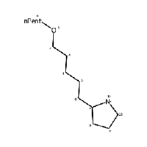 CCCCCOCCCCCC1CCC[N]1